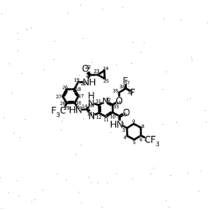 O=C(NC1CCC(C(F)(F)F)CC1)c1cc2nc(Nc3cc(CNC(=O)C4CC4)ccc3C(F)(F)F)[nH]c2nc1OCC(F)F